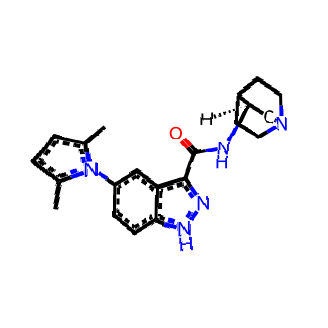 Cc1ccc(C)n1-c1ccc2[nH]nc(C(=O)N[C@@H]3CN4CCC3CC4)c2c1